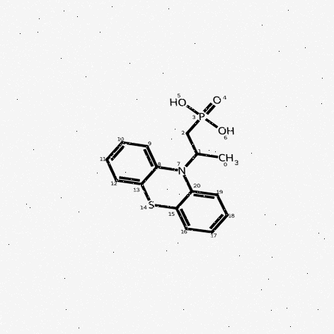 CC(CP(=O)(O)O)N1c2ccccc2Sc2ccccc21